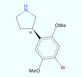 COc1cc([C@H]2CCNC2)c(OC)cc1Br